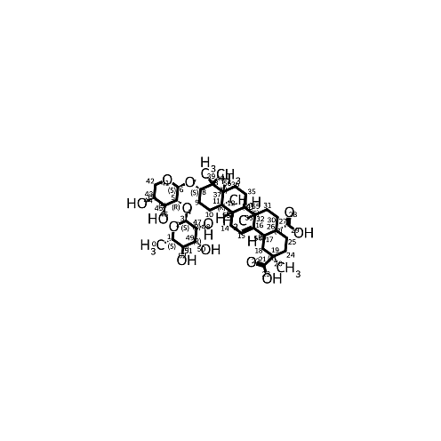 C[C@@H]1O[C@@H](O[C@H]2[C@H](O[C@H]3CC[C@]4(C)[C@H]5CC=C6[C@@H]7C[C@](C)(C(=O)O)CC[C@]7(C(=O)O)CC[C@@]6(C)[C@@H]5CC[C@H]4C3(C)C)OC[C@H](O)[C@@H]2O)[C@H](O)[C@H](O)[C@H]1O